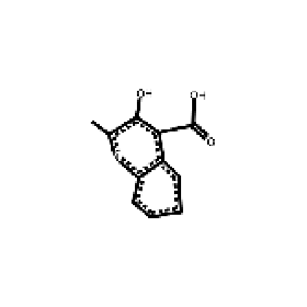 Cc1nc2ccccc2c(C(=O)O)c1O